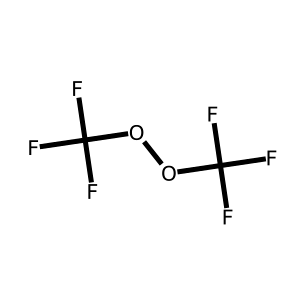 FC(F)(F)OOC(F)(F)F